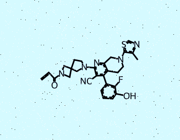 C=CC(=O)N1CC2(CCN(c3nc4c(c(-c5cccc(O)c5F)c3C#N)CCN(c3scnc3C)C4)C2)C1